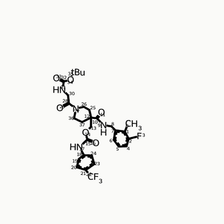 Cc1c(F)cccc1CNC(=O)C1(COC(=O)Nc2ccc(C(F)(F)F)cc2)CCN(C(=O)CNC(=O)OC(C)(C)C)CC1